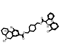 CCN(Cc1cc(C(=O)OCC2CCC(COC(=O)C(Nc3c(Cl)cccc3Cl)c3ccccc3)CC2)cc(Br)c1N)C1CCCCC1